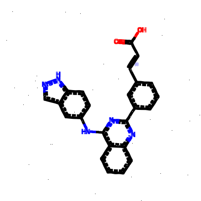 O=C(O)/C=C/c1cccc(-c2nc(Nc3ccc4[nH]ncc4c3)c3ccccc3n2)c1